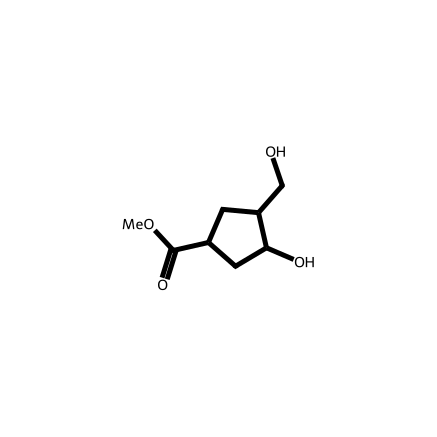 COC(=O)C1CC(O)C(CO)C1